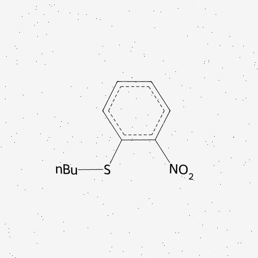 CCCCSc1ccccc1[N+](=O)[O-]